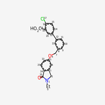 CCN1Cc2cc(OCc3cccc(-c4ccc(Cl)c(C(=O)O)c4)c3)ccc2C1=O